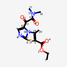 CCOC(=O)c1sc2ncc(C(=O)C(=O)N(C)C)n2c1C